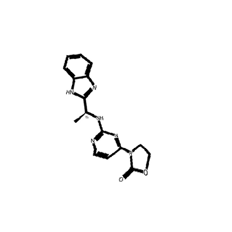 C[C@H](Nc1nccc(N2CCOC2=O)n1)c1nc2ccccc2[nH]1